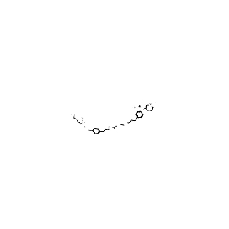 CN1C(=O)CCC(n2c(=O)n(C)c3cc(CCCOCCOCC(=O)NCCCc4ccc(COC[C@H](CCC(N)=O)NC=O)cc4)ccc32)C1=O